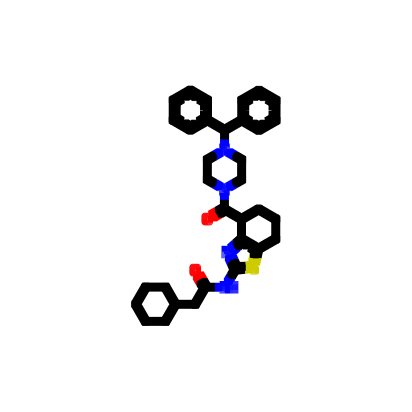 O=C(CC1CCCCC1)Nc1nc2c(s1)CCCC2C(=O)N1CCN(C(c2ccccc2)c2ccccc2)CC1